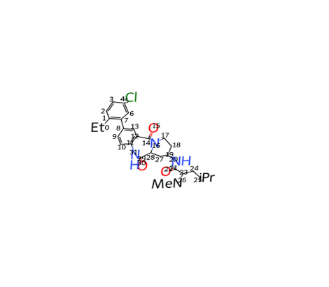 CCc1ccc(Cl)cc1-c1ccc2c(c1)C(=O)N1CCC(NC(=O)C(CC(C)C)NC)CC1C(=O)N2